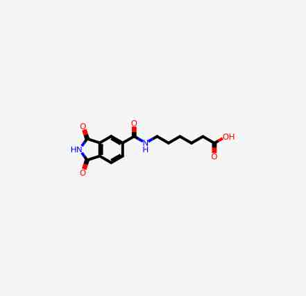 O=C(O)CCCCCNC(=O)c1ccc2c(c1)C(=O)NC2=O